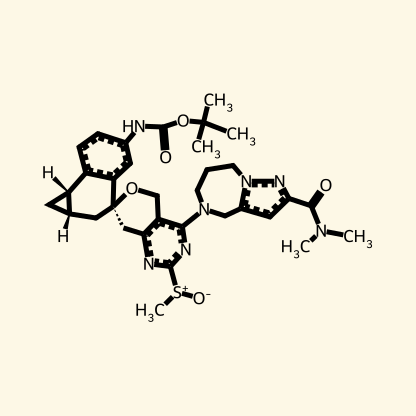 CN(C)C(=O)c1cc2n(n1)CCCN(c1nc([S+](C)[O-])nc3c1CO[C@@]1(C3)C[C@@H]3C[C@@H]3c3ccc(NC(=O)OC(C)(C)C)cc31)C2